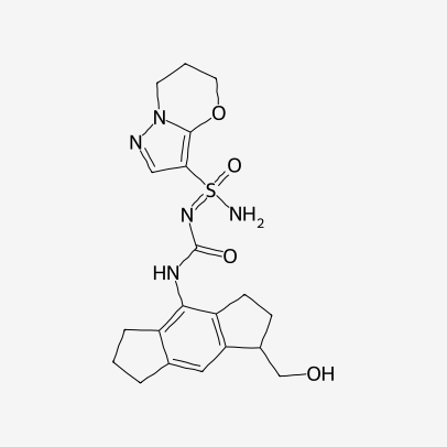 NS(=O)(=NC(=O)Nc1c2c(cc3c1CCC3CO)CCC2)c1cnn2c1OCCC2